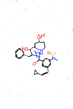 CN(c1cc(/C=C\C2CC2)cc(C(=O)NC(Cc2ccccc2)C(O)C2CC(O)CCN2)c1)[S+](C)[O-]